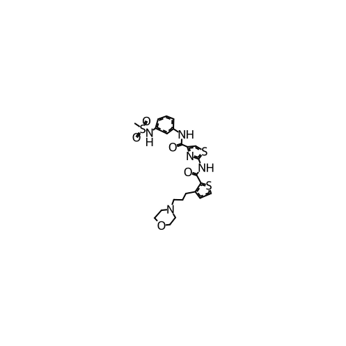 CS(=O)(=O)Nc1cccc(NC(=O)c2csc(NC(=O)c3sccc3CCCN3CCOCC3)n2)c1